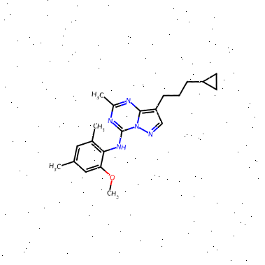 COc1cc(C)cc(C)c1Nc1nc(C)nc2c(CCCC3CC3)cnn12